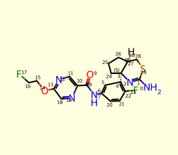 NC1=N[C@@]2(c3cc(NC(=O)c4cnc(OCCF)cn4)ccc3F)CCC[C@H]2CS1